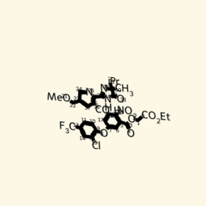 CCOC(=O)COC(=O)c1cc(Oc2ccc(C(F)(F)F)cc2Cl)ccc1[N+](=O)[O-].COCc1cnc(C2=NC(C)(C(C)C)C(=O)N2)c(C(=O)O)c1